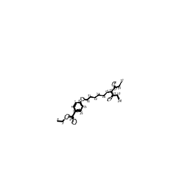 CCOC(=O)c1ccc(OCCCCCCC(C(=O)CC)C(=O)CC)cc1